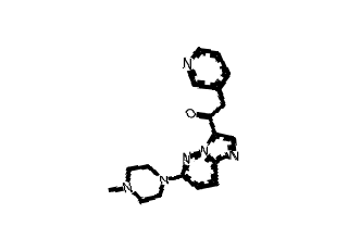 CN1CCN(c2ccc3ncc(C(=O)Cc4cccnc4)n3n2)CC1